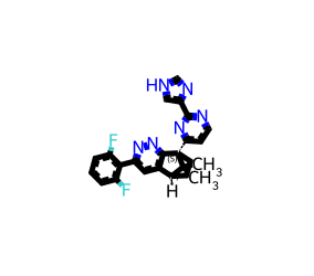 CC1(C)[C@H]2CC[C@]1(c1ccnc(-c3c[nH]cn3)n1)c1nnc(-c3c(F)cccc3F)cc12